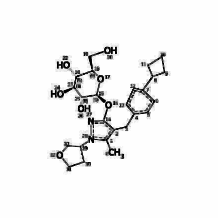 Cc1c(Cc2ccc(C3CCC3)cc2)c(O[C@@H]2O[C@H](CO)[C@@H](O)[C@H](O)[C@H]2O)nn1C1CCOC1